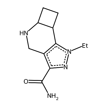 CCn1nc(C(N)=O)c2c1C1CCC1NC2